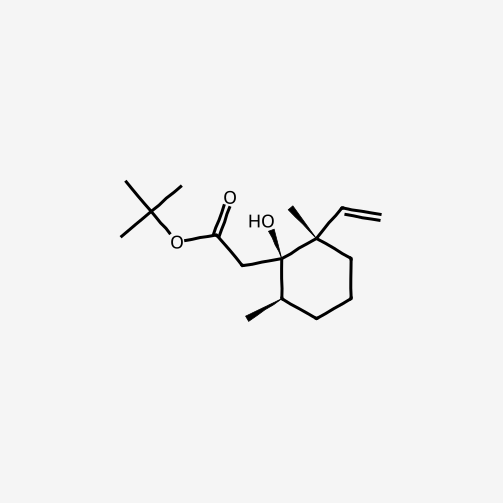 C=C[C@]1(C)CCC[C@@H](C)[C@]1(O)CC(=O)OC(C)(C)C